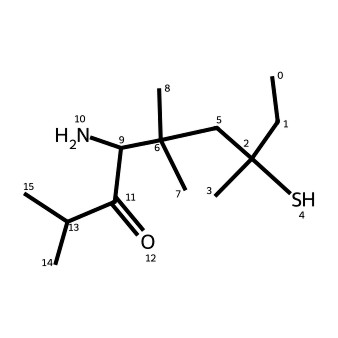 CCC(C)(S)CC(C)(C)C(N)C(=O)C(C)C